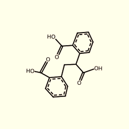 O=C(O)c1ccccc1CC(C(=O)O)c1ccccc1C(=O)O